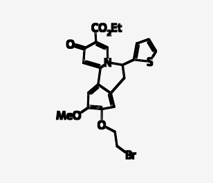 CCOC(=O)c1cn2c(cc1=O)-c1cc(OC)c(OCCBr)cc1CC2c1cccs1